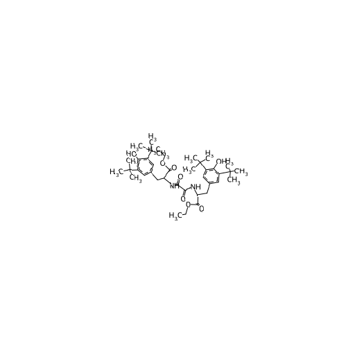 CCOC(=O)C(Cc1cc(C(C)(C)C)c(O)c(C(C)(C)C)c1)NC(=O)C(=O)NC(Cc1cc(C(C)(C)C)c(O)c(C(C)(C)C)c1)C(=O)OCC